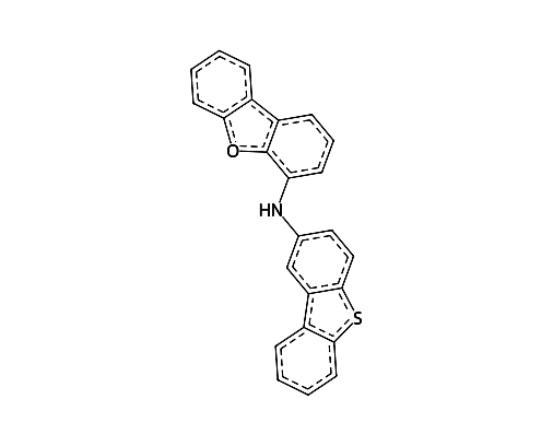 c1ccc2c(c1)oc1c(Nc3ccc4sc5ccccc5c4c3)cccc12